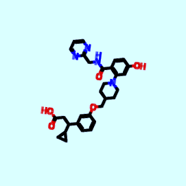 O=C(O)CC(c1cccc(OCC2CCN(c3cc(O)ccc3C(=O)NCc3ncccn3)CC2)c1)C1CC1